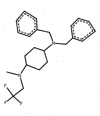 CN(CC(F)(F)F)C1CCC(N(Cc2ccccc2)Cc2ccccc2)CC1